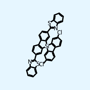 Clc1ccc2c(c1)[Si]1(c3cc(Cl)ccc3-2)c2cc(-c3nc4ccccc4s3)ccc2-c2ccc(-c3nc4ccccc4s3)cc21